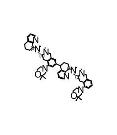 CN1Cc2cc(C3CC[C@H](N(C)C[C@@H]4Cc5c(cccc5N5CCOC(C)(C)C5)CN4C)c4ncccc43)cc(N3CCOC(C)(C)C3)c2C[C@@H]1CN(C)[C@H]1CCCc2cccnc21